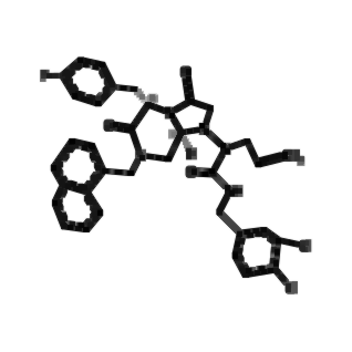 C=CCN(C(=O)NCc1ccc(Cl)c(Cl)c1)N1CC(=O)N2[C@@H](Cc3ccc(F)cc3)C(=O)N(Cc3cccc4ccccc34)C[C@@H]21